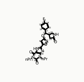 CCCn1c(=O)c2[nH]c(-c3cc(OC(c4ccc(F)cc4)C4CNC(=O)C4)no3)nc2n(CCC)c1=O